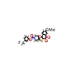 COc1ccc2c(c1)C(=O)C(=O)C1=C2OC2(CCN(C(=O)Oc3cccc(C(F)(F)F)c3)CC2)CS1